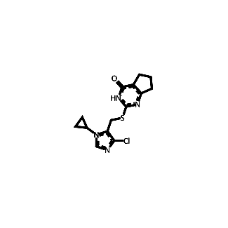 O=c1[nH]c(SCc2c(Cl)ncn2C2CC2)nc2c1CCC2